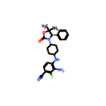 CC1(C)OC(=O)N([C@H]2CC[C@H](Nc3ccc(C#N)c(F)c3N)CC2)[C@H]1c1ccccc1